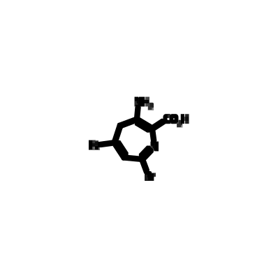 CCC1=CC(Br)=NC(C(=O)O)=C(N)C1